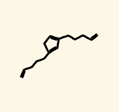 C=CCCCC1=CCC(CCCC=C)=C1